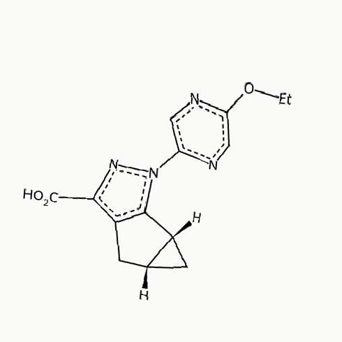 CCOc1cnc(-n2nc(C(=O)O)c3c2[C@@H]2C[C@@H]2C3)cn1